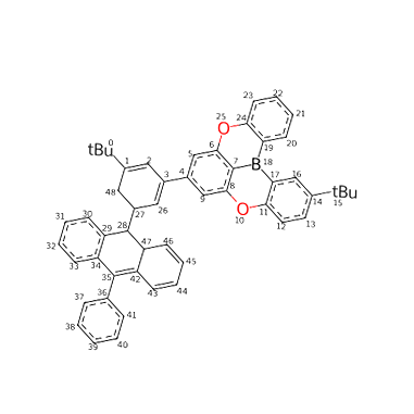 CC(C)(C)C1=CC(c2cc3c4c(c2)Oc2ccc(C(C)(C)C)cc2B4c2ccccc2O3)=CC(C2c3ccccc3C(c3ccccc3)=C3C=CC=CC32)C1